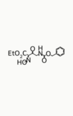 CCOC(=O)C(=NO)C(=O)CNC(=O)OCc1ccccc1